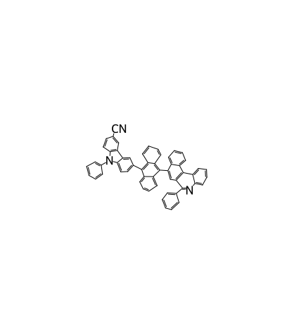 N#Cc1ccc2c(c1)c1cc(-c3c4ccccc4c(-c4cc5c(-c6ccccc6)nc6ccccc6c5c5ccccc45)c4ccccc34)ccc1n2-c1ccccc1